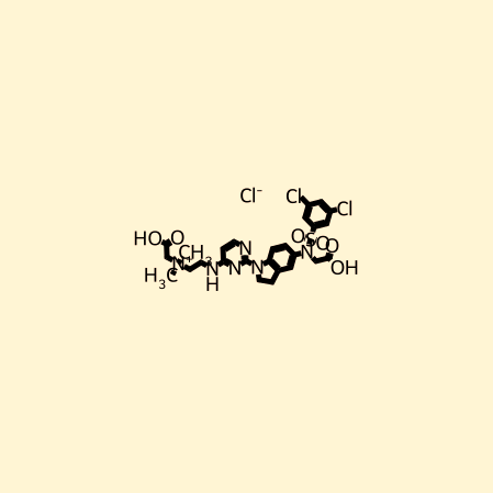 C[N+](C)(CCNc1ccnc(N2CCc3cc(N(CC(=O)O)S(=O)(=O)c4cc(Cl)cc(Cl)c4)ccc32)n1)CC(=O)O.[Cl-]